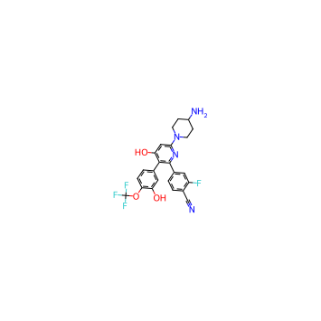 N#Cc1ccc(-c2nc(N3CCC(N)CC3)cc(O)c2-c2ccc(OC(F)(F)F)c(O)c2)cc1F